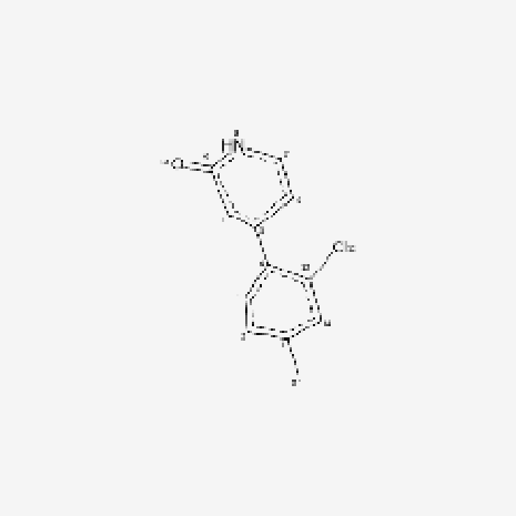 Cc1ccc(-c2cc[nH]c(=O)c2)c(Cl)c1